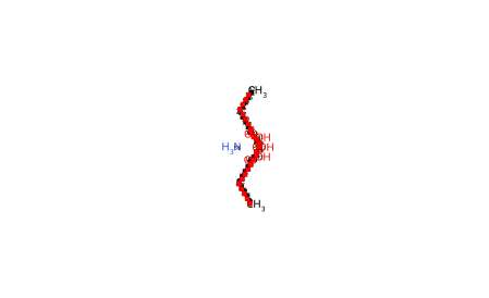 CCCCCCCC/C=C\CCCCCCCC(=O)OC[C@H](O)COP(=O)(O)OC[C@@H](O)COC(=O)CCCCCCC/C=C\CCCCCCCC.N